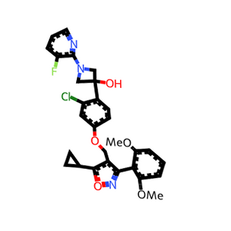 COc1cccc(OC)c1-c1noc(C2CC2)c1COc1ccc(C2(O)CN(c3ncccc3F)C2)c(Cl)c1